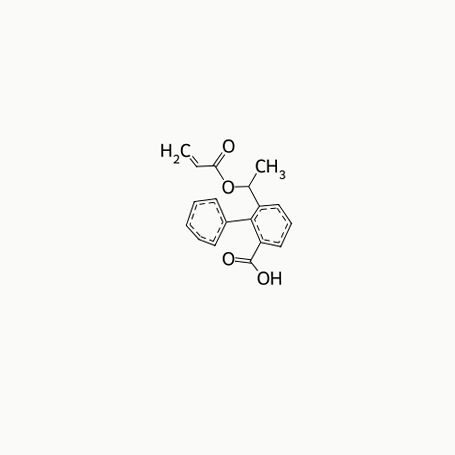 C=CC(=O)OC(C)c1cccc(C(=O)O)c1-c1ccccc1